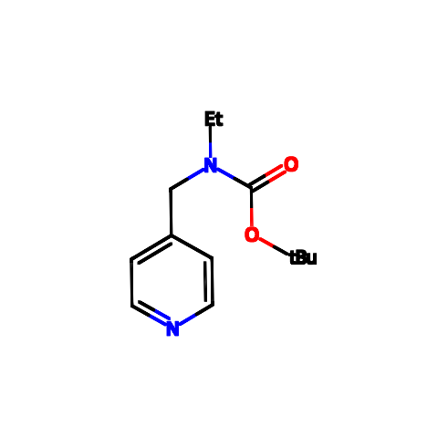 CCN(Cc1ccncc1)C(=O)OC(C)(C)C